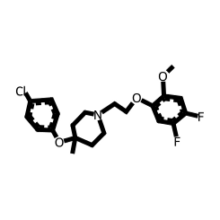 COc1cc(F)c(F)cc1OCCN1CCC(C)(Oc2ccc(Cl)cc2)CC1